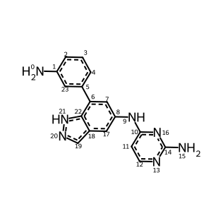 Nc1cccc(-c2cc(Nc3ccnc(N)n3)cc3cn[nH]c23)c1